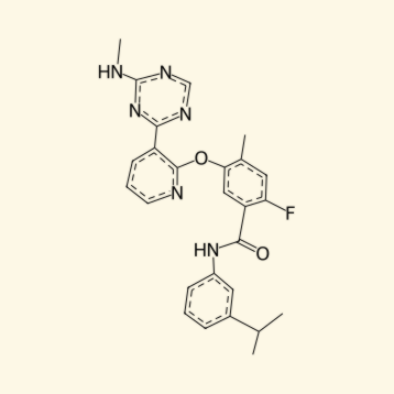 CNc1ncnc(-c2cccnc2Oc2cc(C(=O)Nc3cccc(C(C)C)c3)c(F)cc2C)n1